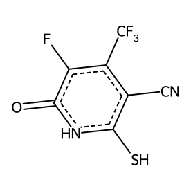 N#Cc1c(S)[nH]c(=O)c(F)c1C(F)(F)F